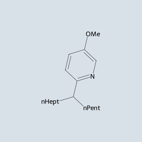 CCCCCCCC(CCCCC)c1ccc(OC)cn1